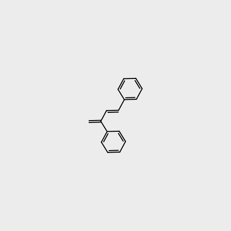 C=C(C=Cc1ccccc1)c1ccccc1